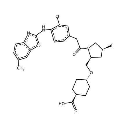 Cc1ccc2nc(Nc3ccc(CC(=O)N4C[C@@H](F)C[C@H]4CO[C@H]4CC[C@H](C(=O)O)CC4)cc3Cl)sc2c1